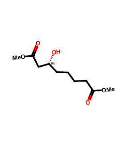 COC(=O)CCCC[C@@H](O)CC(=O)OC